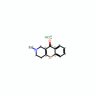 CCN1CCc2sc3ccccc3c(=O)c2C1.Cl